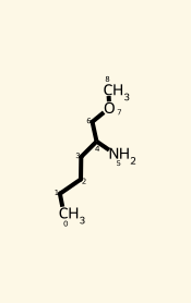 CCCCC(N)COC